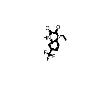 CCn1c(=O)c(=O)[nH]c2cc(C(F)(F)F)ccc21